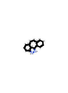 C1=Cc2c3nnc4cccc(ccc2=CC1)c4-3